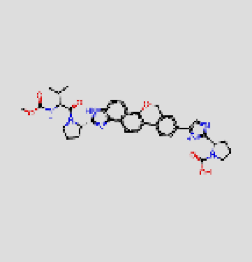 COC(=O)NC(C(=O)N1CCC[C@H]1c1nc2c(ccc3c4c(ccc32)-c2ccc(-c3cnc([C@H]5CCCN5C(=O)O)[nH]3)cc2CO4)[nH]1)C(C)C